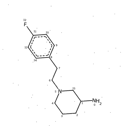 NC1CCCN(CCc2ccc(F)cc2)C1